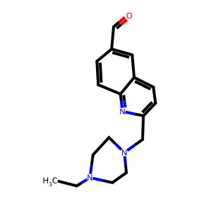 CCN1CCN(Cc2ccc3cc(C=O)ccc3n2)CC1